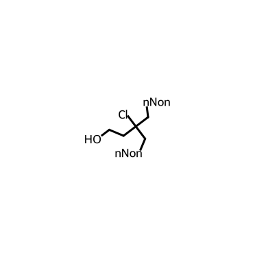 CCCCCCCCCCC(Cl)(CCO)CCCCCCCCCC